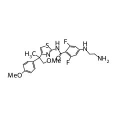 COCC(C)(c1ccc(OC)cc1)c1csc(NC(=O)c2c(F)cc(NCCN)cc2F)n1